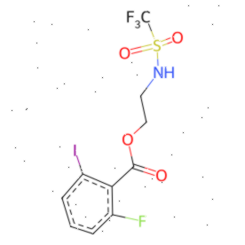 O=C(OCCNS(=O)(=O)C(F)(F)F)c1c(F)cccc1I